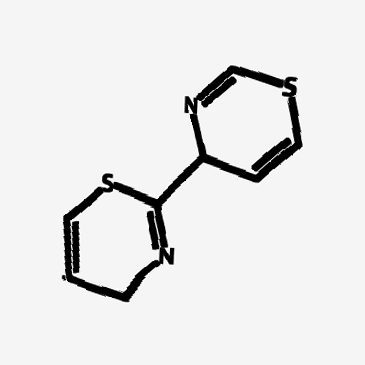 [C]1=CSC(C2C=CSC=N2)=NC1